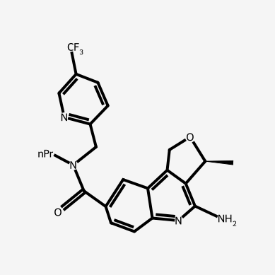 CCCN(Cc1ccc(C(F)(F)F)cn1)C(=O)c1ccc2nc(N)c3c(c2c1)CO[C@H]3C